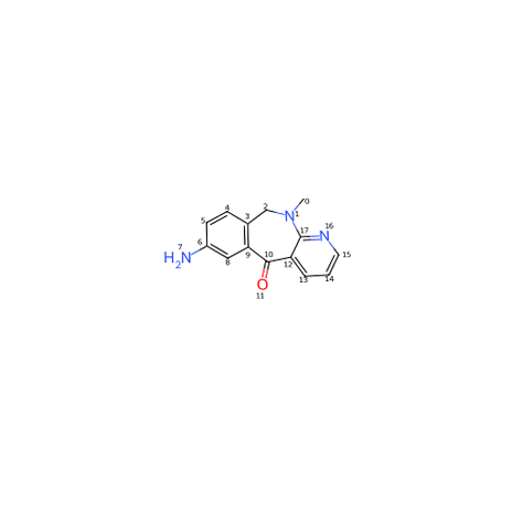 CN1Cc2ccc(N)cc2C(=O)c2cccnc21